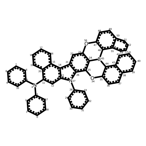 c1ccc(N(c2ccccc2)c2cc3c(c4ccccc24)c2cc4c5c(c2n3-c2ccccc2)Oc2ccc3ccccc3c2B5c2c(ccc3ccccc23)O4)cc1